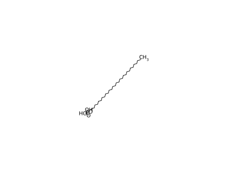 CCCCCCCCCCCCCCCCCCCCCCCCCCCCCOP(=O)(O)O